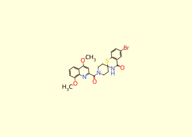 COc1cc(C(=O)N2CCC3(CC2)NC(=O)c2cc(Br)ccc2S3)nc2c(OC)cccc12